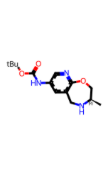 C[C@@H]1COc2ncc(NC(=O)OC(C)(C)C)cc2CN1